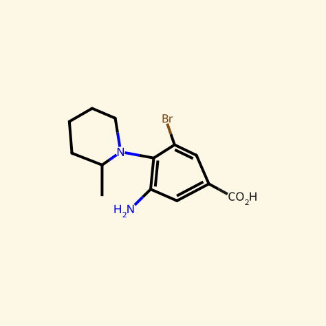 CC1CCCCN1c1c(N)cc(C(=O)O)cc1Br